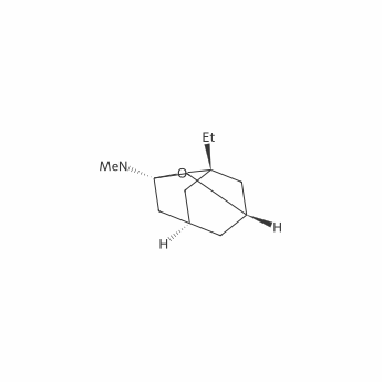 CC[C@]12C[C@H]3C[C@@H](C1)C[C@@](NC)(C3)O2